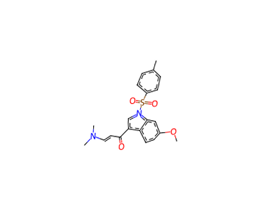 COc1ccc2c(C(=O)/C=C/N(C)C)cn(S(=O)(=O)c3ccc(C)cc3)c2c1